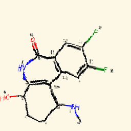 CNC1CCC(O)c2[nH]c(=O)c3cc(F)c(F)cc3c21